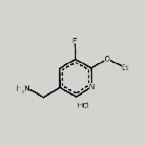 CCOc1ncc(CN)cc1F.Cl